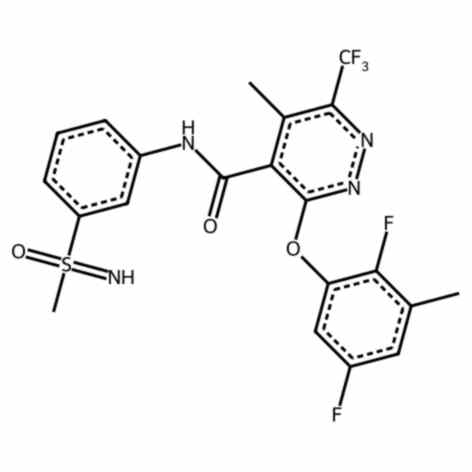 Cc1cc(F)cc(Oc2nnc(C(F)(F)F)c(C)c2C(=O)Nc2cccc(S(C)(=N)=O)c2)c1F